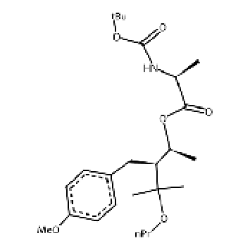 CCCOC(C)(C)[C@@H](Cc1ccc(OC)cc1)[C@H](C)OC(=O)[C@H](C)NC(=O)OC(C)(C)C